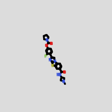 CN1CC(NC(=O)c2ccc3c(c2)sc2nc(-c4ccc(OC(=O)N5CCCC5)cc4F)cn23)C1